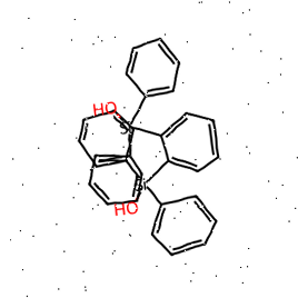 O[Si](c1ccccc1)(c1ccccc1)c1ccccc1[Si](O)(c1ccccc1)c1ccccc1